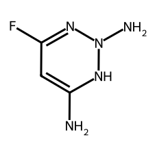 NC1=CC(F)=NN(N)N1